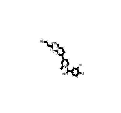 C=C/C=C(\C=C/N(C)C(CCC)c1ccc(Cl)c(F)c1)C(/C=C\N=C)=N/CN/C(=C/C=N)NC